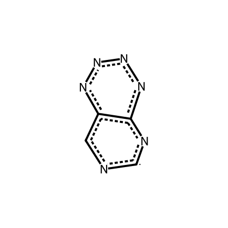 [c]1ncc2nnnnc2n1